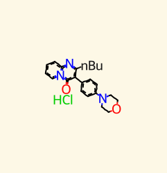 CCCCc1nc2ccccn2c(=O)c1-c1ccc(N2CCOCC2)cc1.Cl